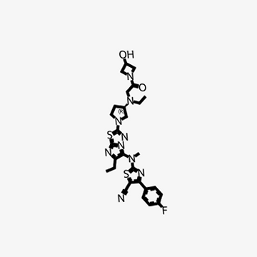 CCc1nc2sc(N3CC[C@@H](N(CC)CC(=O)N4CC(O)C4)C3)nn2c1N(C)c1nc(-c2ccc(F)cc2)c(C#N)s1